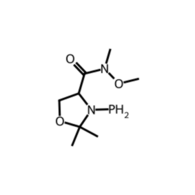 CON(C)C(=O)C1COC(C)(C)N1P